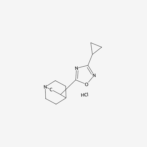 C1CC1c1noc(C2CN3CCC2CC3)n1.Cl